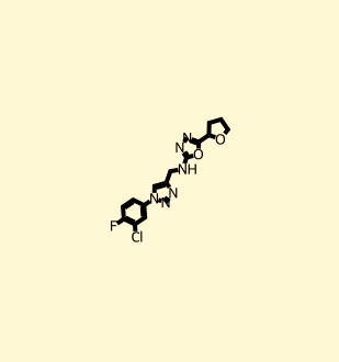 Fc1ccc(-n2cc(CNc3nnc(C4CCCO4)o3)nn2)cc1Cl